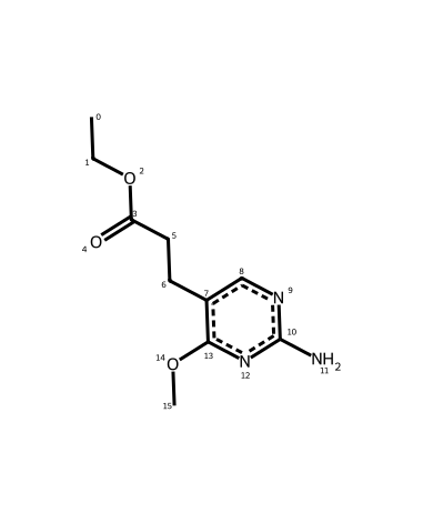 CCOC(=O)CCc1cnc(N)nc1OC